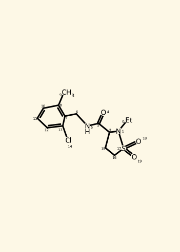 CCN1C(C(=O)NCc2c(C)cccc2Cl)CCS1(=O)=O